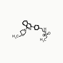 CCN1CCN(c2nc(-c3ccc(CCNS(=O)(=O)CC)cc3)cc3ccccc23)CC1